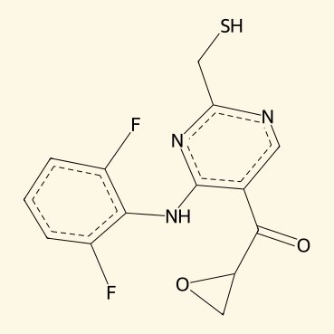 O=C(c1cnc(CS)nc1Nc1c(F)cccc1F)C1CO1